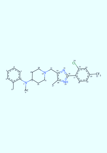 CC(=O)N(c1ccccc1C)C1CCN(Cc2nc(-c3ccc(C(F)(F)F)cc3Cl)[nH]c2C)CC1